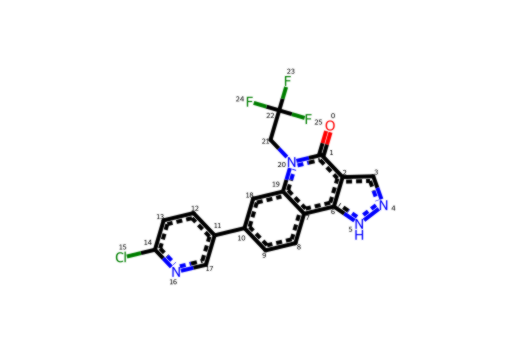 O=c1c2cn[nH]c2c2ccc(-c3ccc(Cl)nc3)cc2n1CC(F)(F)F